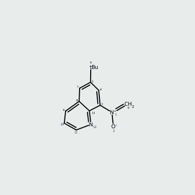 C=[N+]([O-])c1cc(C(C)(C)C)cc2cccnc12